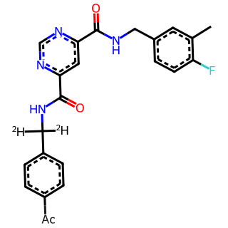 [2H]C([2H])(NC(=O)c1cc(C(=O)NCc2ccc(F)c(C)c2)ncn1)c1ccc(C(C)=O)cc1